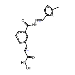 Cc1ccc(/C=N/NC(=O)c2cccc(/C=C/C(=O)NO)c2)s1